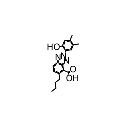 CCCCc1ccc2nn(-c3cc(C)c(C)cc3O)nc2c1C(=O)O